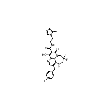 Cc1nccn1CCNC(=O)c1c(O)c2ncc(Cc3ccc(F)cc3)c3c2n(c1=O)CC(F)(F)CN3